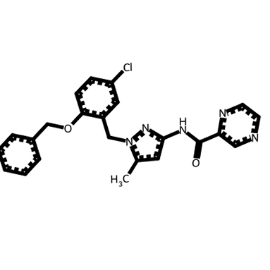 Cc1cc(NC(=O)c2cnccn2)nn1Cc1cc(Cl)ccc1OCc1ccccc1